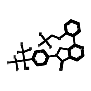 O=C1c2ccnc(-c3ccccc3OCC(F)(F)F)c2CN1c1ccc(C(O)(C(F)(F)F)C(F)(F)F)cc1